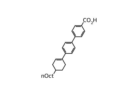 CCCCCCCCC1CC=C(c2ccc(-c3ccc(C(=O)O)cc3)cc2)CC1